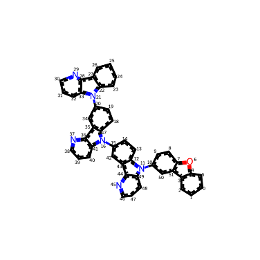 c1ccc2c(c1)oc1ccc(-n3c4ccc(-n5c6ccc(-n7c8ccccc8c8ncccc87)cc6c6ncccc65)cc4c4ncccc43)cc12